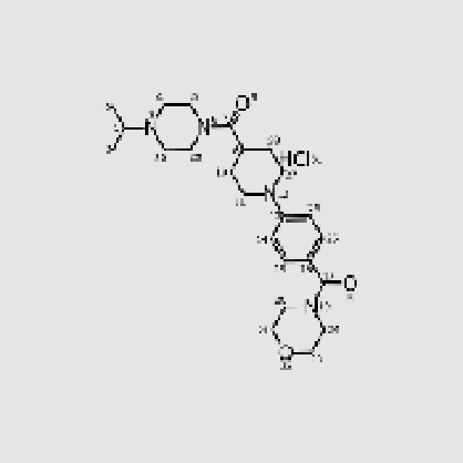 CC(C)N1CCN(C(=O)C2CCN(c3ccc(C(=O)N4CCOCC4)cc3)CC2)CC1.Cl